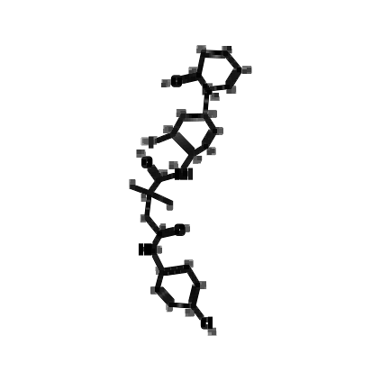 CC(C)(CC(=O)Nc1ccc(Cl)cc1)C(=O)Nc1ccc(-n2ccccc2=O)cc1F